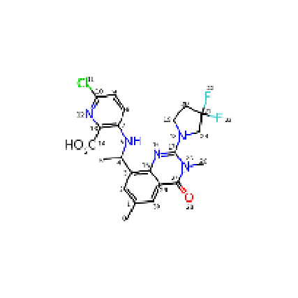 Cc1cc([C@@H](C)Nc2ccc(Cl)nc2C(=O)O)c2nc(N3CCC(F)(F)C3)n(C)c(=O)c2c1